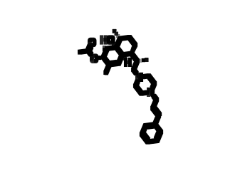 CC(=O)O[C@@H]1[C][C@@]2(O)[C@H](C)CC[C@@H]([C@H](C)CN3CCN(C/C=C/c4ccccc4)CC3)[C@H]2C=C1C